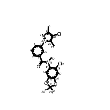 Cc1nn(-c2cccc(C(=O)N(C)c3cc4c(cc3Cl)OC(F)(F)O4)c2)c(C)c1Cl